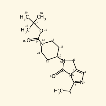 CCc1ncc2n1C(=O)N(C1CCN(C(=O)OC(C)(C)C)CC1)C2